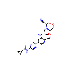 N#Cc1ncc(-c2cnc(NC(=O)C3CC3)cn2)cc1N[C@H](C=O)CN1CCOC[C@@H]1C#N